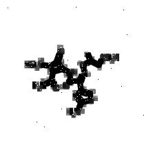 CC(CC(=O)O)O/N=C(\C(=O)NC1C(=O)N(S(=O)(=O)O)C1C(N)=O)c1csc(N)n1